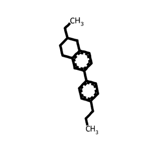 CCCc1ccc(-c2ccc3c(c2)CCC(CC)C3)cc1